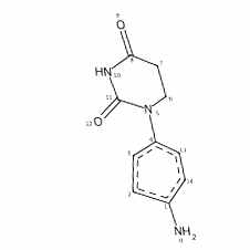 Nc1ccc(N2CCC(=O)NC2=O)cc1